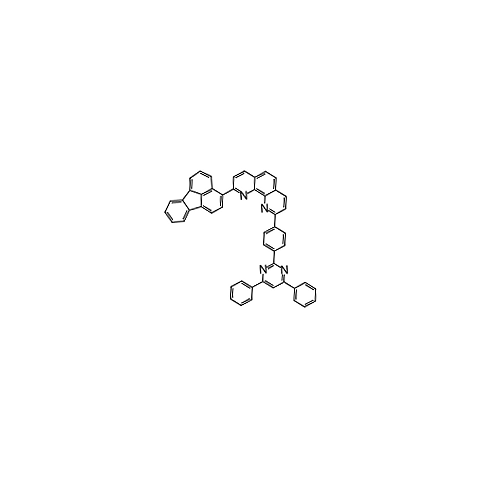 c1ccc(-c2cc(-c3ccccc3)nc(-c3ccc(-c4ccc5ccc6ccc(-c7ccc8c9c(cccc79)-c7ccccc7-8)nc6c5n4)cc3)n2)cc1